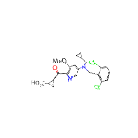 COc1cc(N(Cc2c(Cl)cccc2Cl)CC2CC2)cnc1C(=O)C1CC1C(=O)O